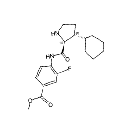 COC(=O)c1ccc(NC(=O)[C@H]2NCC[C@@H]2C2CCCCC2)c(F)c1